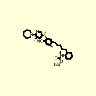 CC(C)(C)OC(=O)NC[C@H](CCCc1cc(Nc2cnc(N3CCCCCC3)c(F)c2)c(C#N)cc1F)Cc1ccccc1